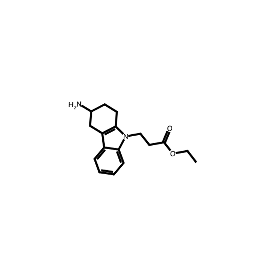 CCOC(=O)CCn1c2c(c3ccccc31)CC(N)CC2